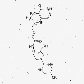 C[C@@H](COCC(=O)N[C@@H]1CCN(C2NCC(C(F)(F)F)CN2)C[C@H]1O)Nc1cn[nH]c(=O)c1C(F)(F)F